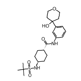 CC(C)(C)S(=O)(=O)N[C@H]1CC[C@H](C(=O)Nc2cccc(C3(O)CCOCC3)c2)CC1